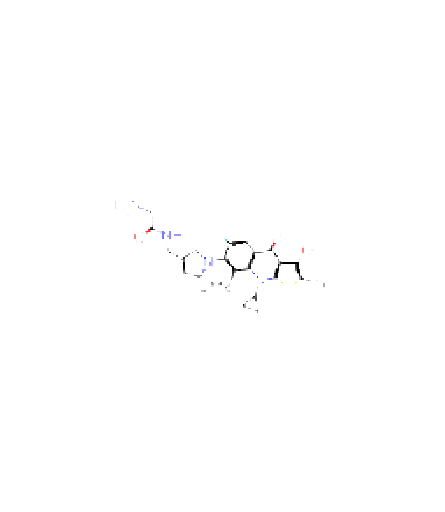 COc1c(N2CC[C@@H](CNC(=O)CN)C2)c(F)cc2c(=O)c3c(O)c(C(C)=O)sc3n(C3CC3)c12